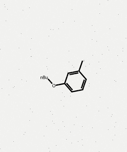 [CH]c1cccc(OCCCC)c1